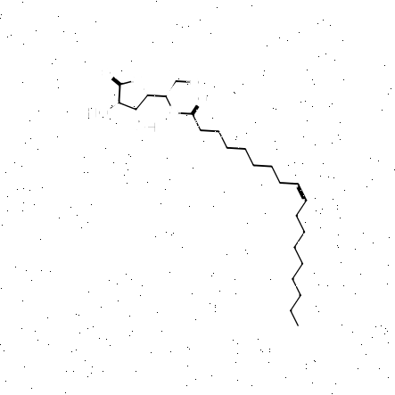 CCCCCCCC/C=C\CCCCCCCC(=O)O[C@H](CO)[C@H]1OC(=O)[C@H](O)[C@H]1O